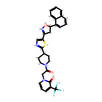 O=C(Cn1cccc(C(F)(F)F)c1=O)N1CCC(c2ncc(C3=NOC(c4cccc5ccccc45)C3)s2)CC1